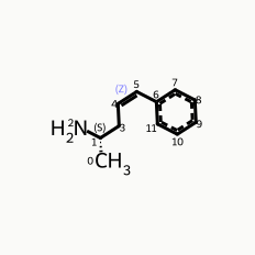 C[C@H](N)C/C=C\c1ccccc1